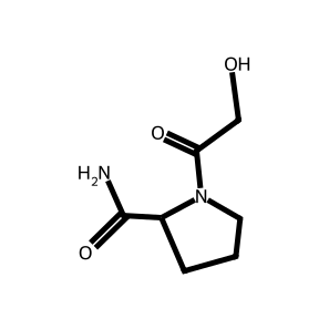 NC(=O)C1CCCN1C(=O)CO